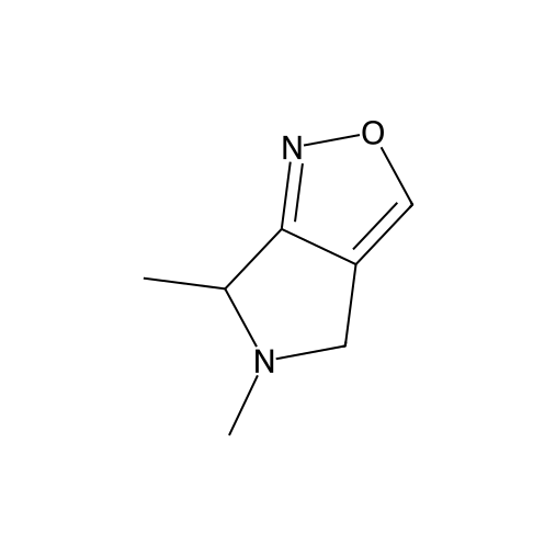 CC1c2nocc2CN1C